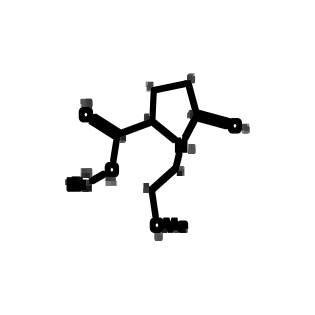 COCCN1C(=O)CCC1C(=O)OC(C)(C)C